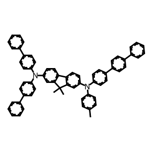 Cc1ccc(N(c2ccc(-c3ccc(-c4ccccc4)cc3)cc2)c2ccc3c(c2)C(C)(C)c2cc(N(c4ccc(-c5ccccc5)cc4)c4ccc(-c5ccccc5)cc4)ccc2-3)cc1